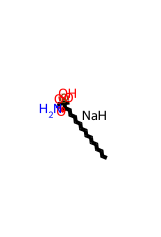 CCCCCCCCCCCCCCCC(=O)C(C)(CN)S(=O)(=O)O.[NaH]